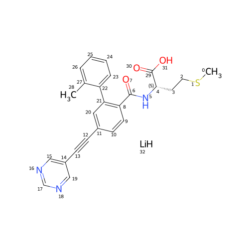 CSCC[C@H](NC(=O)c1ccc(C#Cc2cncnc2)cc1-c1ccccc1C)C(=O)O.[LiH]